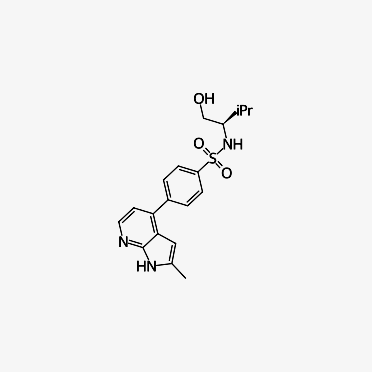 Cc1cc2c(-c3ccc(S(=O)(=O)N[C@@H](CO)C(C)C)cc3)ccnc2[nH]1